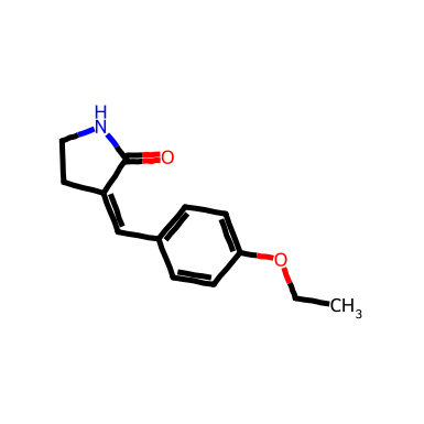 CCOc1ccc(C=C2CCNC2=O)cc1